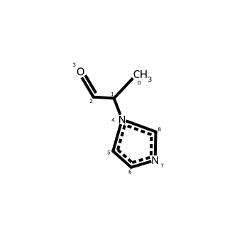 CC(C=O)n1ccnc1